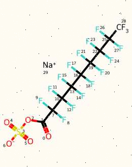 O=C(OS(=O)(=O)[O-])C(F)(F)C(F)(F)C(F)(F)C(F)(F)C(F)(F)C(F)(F)C(F)(F)C(F)(F)F.[Na+]